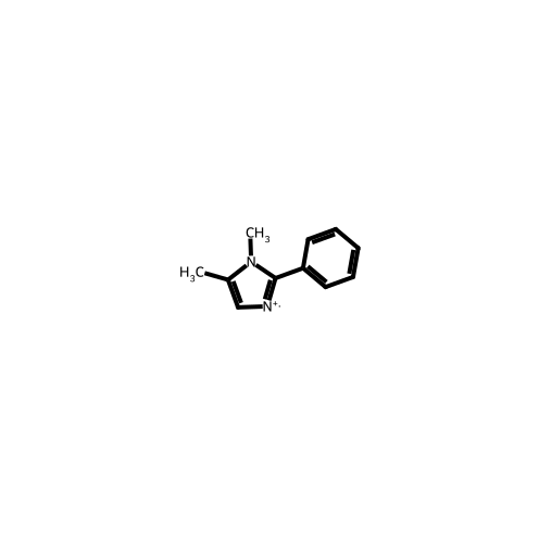 CC1=C[N+]=C(c2ccccc2)N1C